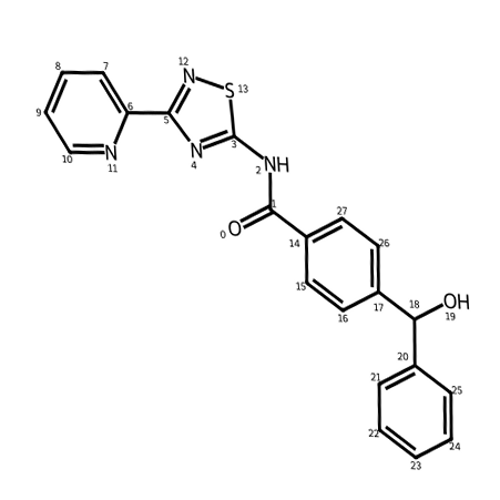 O=C(Nc1nc(-c2ccccn2)ns1)c1ccc(C(O)c2ccccc2)cc1